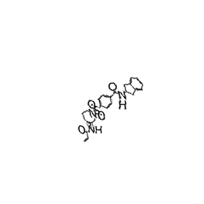 C=CC(=O)N[C@H]1CCCN(S(=O)(=O)c2ccc(C(=O)NC3Cc4ccccc4C3)cc2)C1